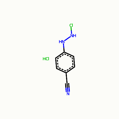 Cl.N#Cc1ccc(NNCl)cc1